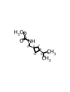 COC(=O)NC[C@H]1C[C@@H](C(C)C)C1